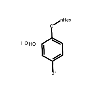 [B+2]c1ccc(OCCCCCC)cc1.[OH-].[OH-]